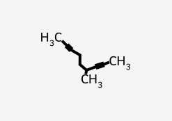 CC#CCCC(C)C#CC